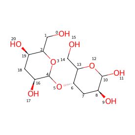 OCC1OC(O[C@H]2C[C@H](O)C(O)OC2CO)[C@@H](O)C[C@H]1O